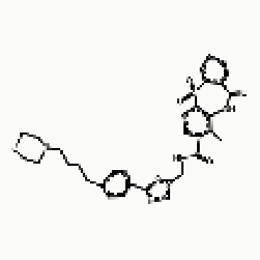 Cc1c(C(=O)NCc2cnc(-c3ccc(CCCCN4CCOCC4)cc3)s2)ccc2c1NC(=O)c1ccccc1S2(=O)=O